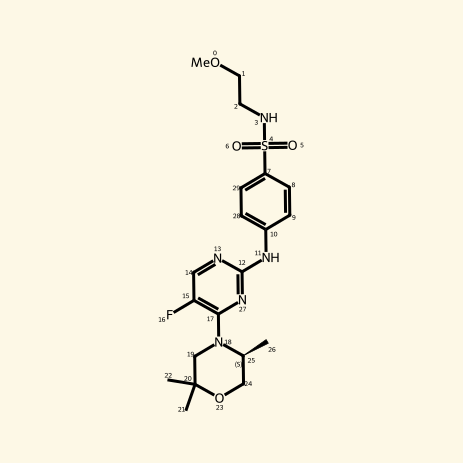 COCCNS(=O)(=O)c1ccc(Nc2ncc(F)c(N3CC(C)(C)OC[C@@H]3C)n2)cc1